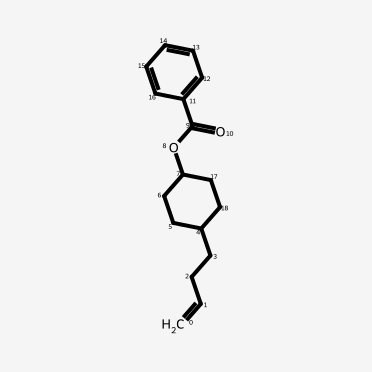 C=CCCC1CCC(OC(=O)c2ccccc2)CC1